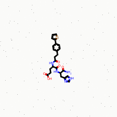 NC(=O)C(Cc1c[nH]cn1)NC(=O)C(CCC(=O)O)NC(=O)CCc1ccc(-c2cccs2)cc1